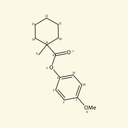 COc1ccc(OC(=O)C2(C)CCCCC2)cc1